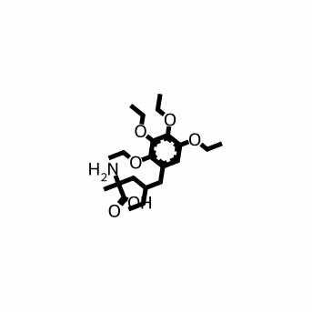 CCOc1cc(CC(CC)CC(C)(N)C(=O)O)c(OCC)c(OCC)c1OCC